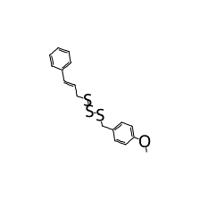 COc1ccc(CSSSC/C=C/c2ccccc2)cc1